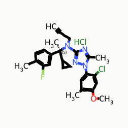 C#CCN(c1nc(C)n(-c2cc(C)c(OC)cc2Cl)n1)[C@](C)(c1ccc(C)c(F)c1)C1CC1.Cl